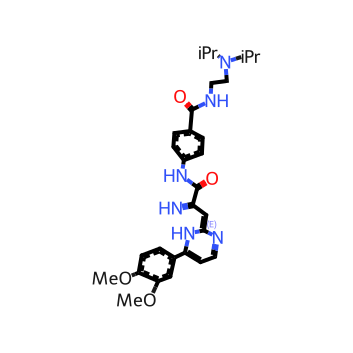 COc1ccc(C2=CC=N/C(=C/C(=N)C(=O)Nc3ccc(C(=O)NCCN(C(C)C)C(C)C)cc3)N2)cc1OC